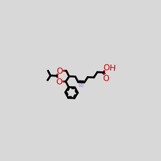 CC(C)C1OCC(C/C=C\CCCC(=O)O)C(c2ccccc2)O1